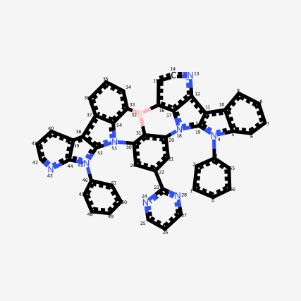 c1ccc(-n2c3ccccc3c3c4nccc5c4n(c32)-c2cc(-c3ncccn3)cc3c2B5c2cccc4c5c6cccnc6n(-c6ccccc6)c5n-3c24)cc1